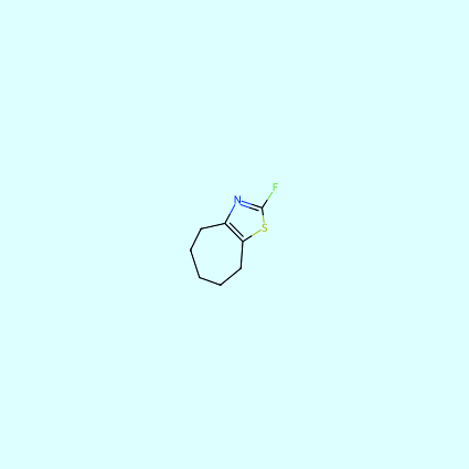 Fc1nc2c(s1)CCCCC2